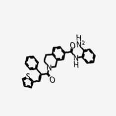 Nc1ccccc1NC(=O)c1ccc2c(c1)CN(C(=O)/C(=C/c1cccs1)c1ccccc1)CC2